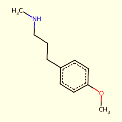 CNCCCc1ccc(OC)cc1